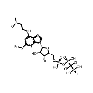 CCCSc1nc(NCC[S+](C)[O-])c2ncn([C@@H]3O[C@H](COP(=O)(O)OP(=O)(O)C(Cl)(Cl)P(=O)(O)O)[C@@H](O)[C@H]3O)c2n1